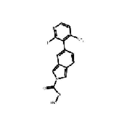 CC(C)(C)OC(=O)n1cc2ccc(-c3c(C(F)(F)F)ccnc3F)cc2c1